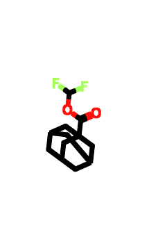 O=C(OC(F)F)C12CC3CC(CC(C3)C1)C2